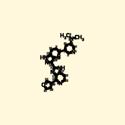 CN(C)c1cncc(-c2ccc3[nH]nc(-c4nc5c(-c6ccoc6)nccc5[nH]4)c3n2)c1